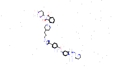 C[C@H]1CCCN1Cc1nc2cc(NC(=O)c3ccc(-c4cnn(CCCC5CCN(c6cccc7c6C(=O)N(C6CCC(=O)NC6=O)C7=O)CC5)c4)cc3)ccc2[nH]1